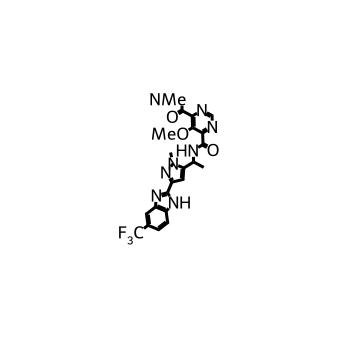 CNC(=O)c1ncnc(C(=O)NC(C)c2cc(-c3nc4cc(C(F)(F)F)ccc4[nH]3)nn2C)c1OC